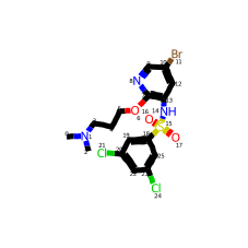 CN(C)CCCOc1ncc(Br)cc1NS(=O)(=O)c1cc(Cl)cc(Cl)c1